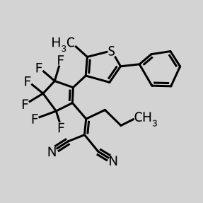 CCCC(=C(C#N)C#N)C1=C(c2cc(-c3ccccc3)sc2C)C(F)(F)C(F)(F)C1(F)F